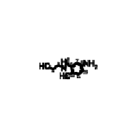 CC(NCCO)c1cc(N)ccc1O